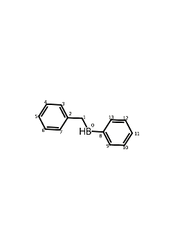 B(Cc1ccccc1)c1ccccc1